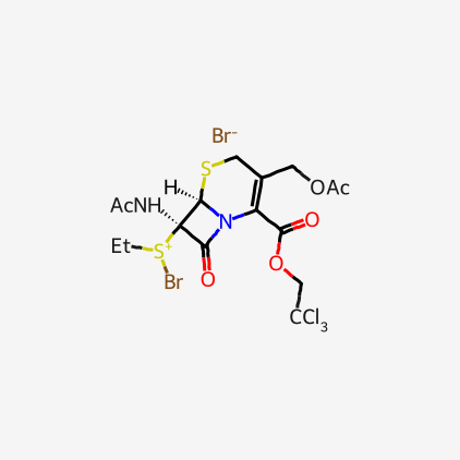 CC[S+](Br)[C@]1(NC(C)=O)C(=O)N2C(C(=O)OCC(Cl)(Cl)Cl)=C(COC(C)=O)CS[C@@H]21.[Br-]